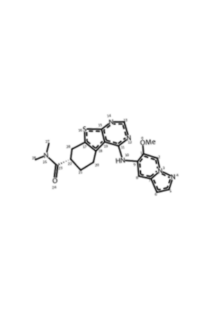 COc1cn2nccc2cc1Nc1ncnc2sc3c(c12)CC[C@H](C(=O)N(C)C)C3